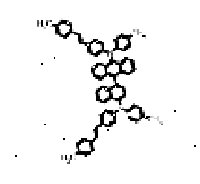 Cc1ccc(/C=C/c2ccc(N(c3ccc(C)cc3)c3ccc(-c4c5ccccc5c(N(c5ccc(C)cc5)c5ccc(/C=C/c6ccc(C)cc6)cc5)c5ccccc45)c4ccccc34)cc2)cc1